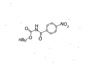 CCCCOC(=O)NC(=O)c1ccc([N+](=O)[O-])cc1